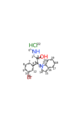 CNC[C@@H](O)[C@H](c1cccc(Br)c1)n1ccc2ccccc21.Cl